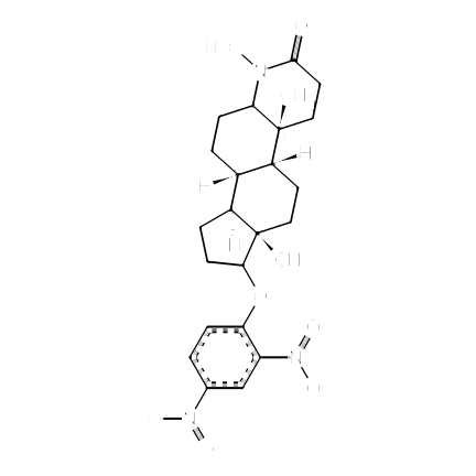 CN1C(=O)CC[C@@]2(C)C1CC[C@@H]1[C@H]2CC[C@]2(C)C(Oc3ccc([N+](=O)[O-])cc3[N+](=O)[O-])CC[C@@H]12